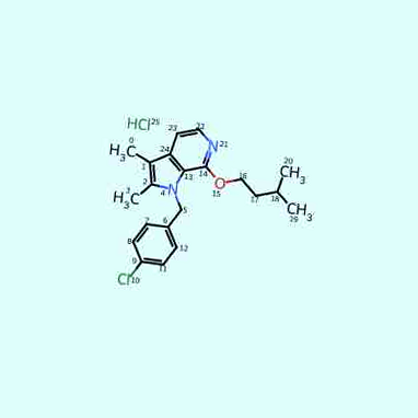 Cc1c(C)n(Cc2ccc(Cl)cc2)c2c(OCCC(C)C)nccc12.Cl